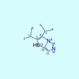 CC(C)C1=C(C(C)C)n2cncc2B1